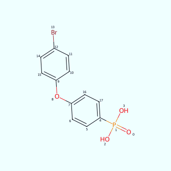 O=P(O)(O)c1ccc(Oc2ccc(Br)cc2)cc1